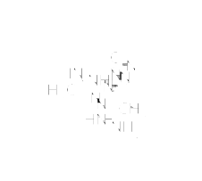 CC(CN=NCC(C)C(=N)N)C(=N)N.N#CC1(N=NC2(C#N)CCCCCCCCC2)CCCCCCCCC1